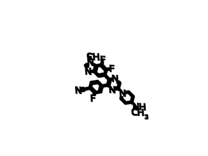 CNC1CCN(c2cnc(-c3cc4ncn(C)c4c(F)c3F)c(-c3ccc(C#N)c(F)c3)n2)CC1